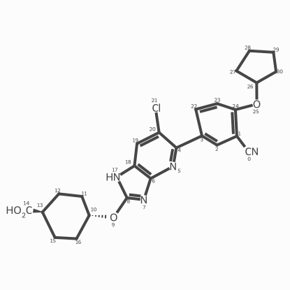 N#Cc1cc(-c2nc3nc(O[C@H]4CC[C@H](C(=O)O)CC4)[nH]c3cc2Cl)ccc1OC1CCCC1